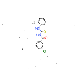 CCc1ccccc1NC(=S)NC(=O)c1cccc(Cl)c1